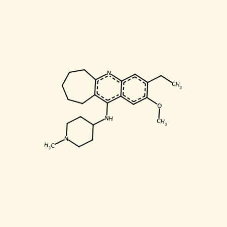 CCc1cc2nc3c(c(NC4CCN(C)CC4)c2cc1OC)CCCCC3